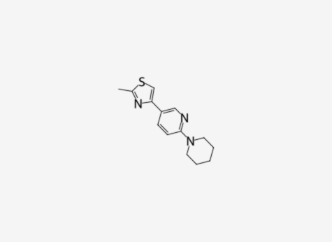 Cc1nc(-c2ccc(N3CCCCC3)nc2)cs1